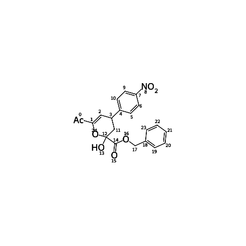 CC(=O)C1=CC(c2ccc([N+](=O)[O-])cc2)CC(O)(C(=O)OCc2ccccc2)O1